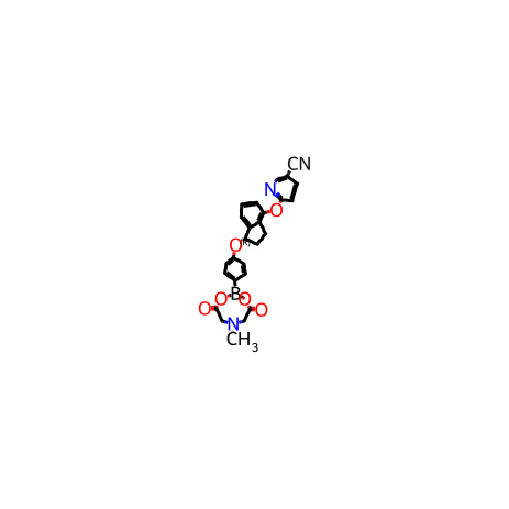 CN1CC(=O)OB(c2ccc(O[C@@H]3CCc4c(Oc5ccc(C#N)cn5)cccc43)cc2)OC(=O)C1